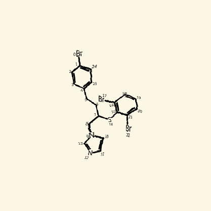 Brc1ccc(CCC(Cn2ccnc2)Sc2c(Br)cccc2Br)cc1